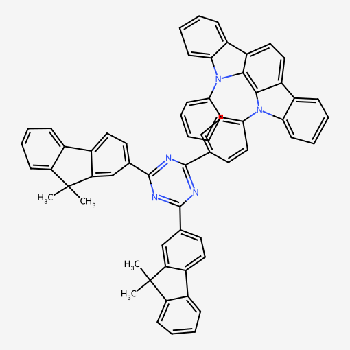 CC1(C)c2ccccc2-c2ccc(-c3nc(-c4ccc(-n5c6ccccc6c6ccc7c8ccccc8n(-c8ccccc8)c7c65)cc4)nc(-c4ccc5c(c4)C(C)(C)c4ccccc4-5)n3)cc21